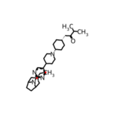 CCN1CC2CCC(C1)N2c1ncc(C2CCN([C@H]3CC[C@@H](CC(=O)C(C)C)CC3)CC2)cn1